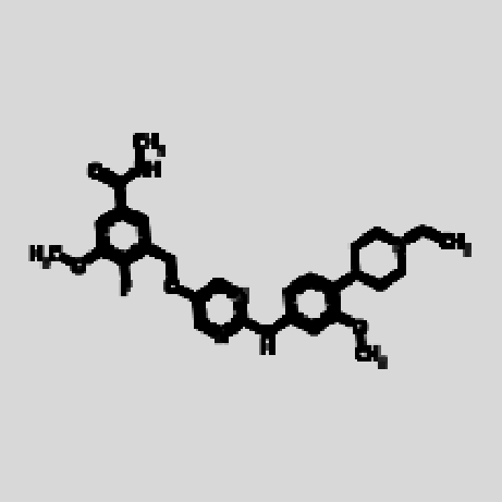 CCN1CCC(c2ccc(Nc3ncc(OCc4cc(C(=O)NC)cc(OC)c4F)cn3)cc2OC)CC1